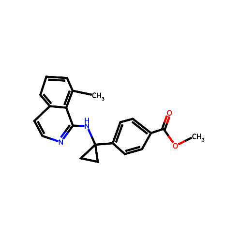 COC(=O)c1ccc(C2(Nc3nccc4cccc(C)c34)CC2)cc1